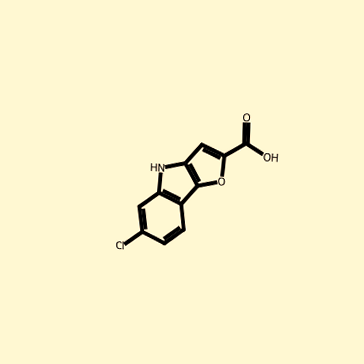 O=C(O)c1cc2[nH]c3cc(Cl)ccc3c2o1